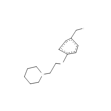 CC(C)Cc1ccc(OCCN2CCCCC2)cc1